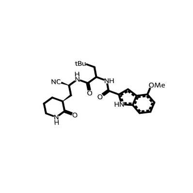 COc1cccc2[nH]c(C(=O)NC(CC(C)(C)C)C(=O)N[C@H](C#N)C[C@@H]3CCCNC3=O)cc12